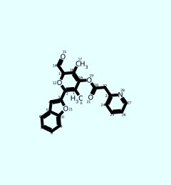 CC1=C(c2cc3ccccc3o2)OC(C=O)C(C)=C1OC(=O)Cc1ccccn1